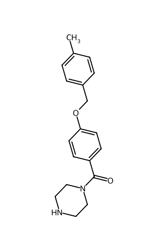 Cc1ccc(COc2ccc(C(=O)N3CCNCC3)cc2)cc1